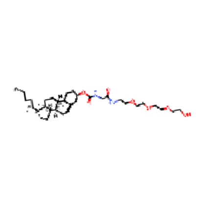 CC(C)CCC[C@@H](C)[C@H]1CC[C@H]2[C@@H]3CC=C4CC(OC(=O)NCC(=O)NCCOCCOCCOCCO)CC[C@]4(C)[C@H]3CC[C@]12C